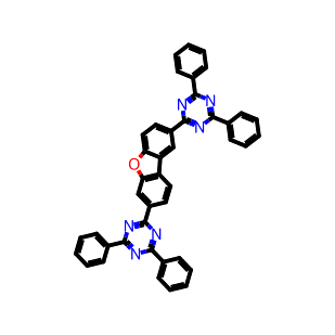 c1ccc(-c2nc(-c3ccccc3)nc(-c3ccc4c(c3)oc3ccc(-c5nc(-c6ccccc6)nc(-c6ccccc6)n5)cc34)n2)cc1